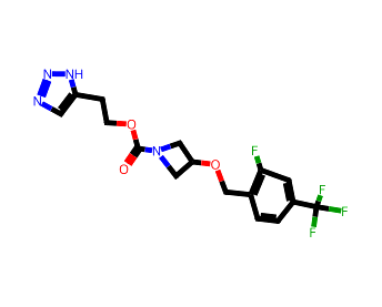 O=C(OCCc1cnn[nH]1)N1CC(OCc2ccc(C(F)(F)F)cc2F)C1